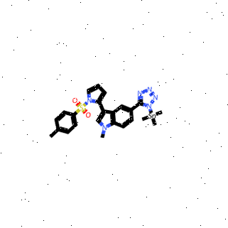 Cc1ccc(S(=O)(=O)n2cccc2-c2cn(C)c3ccc(-c4nnn[n]4[Sn]([CH3])([CH3])[CH3])cc23)cc1